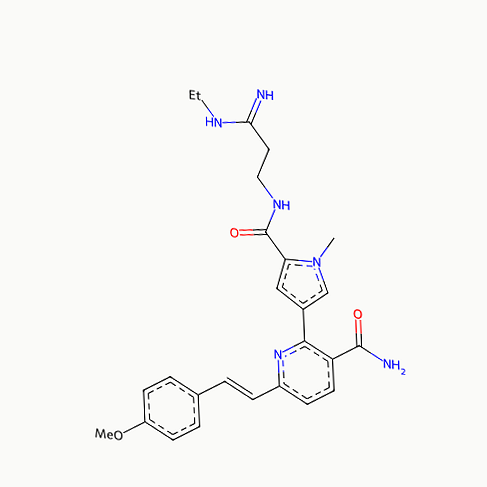 CCNC(=N)CCNC(=O)c1cc(-c2nc(C=Cc3ccc(OC)cc3)ccc2C(N)=O)cn1C